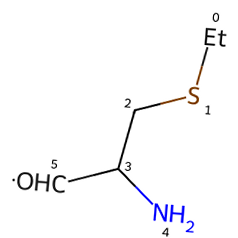 CCSCC(N)[C]=O